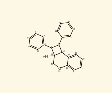 c1ccc(C2C(c3ccccc3)[C@@H]3COc4ccccc4C23)cc1